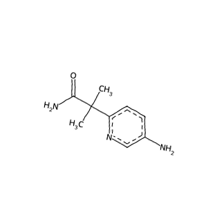 CC(C)(C(N)=O)c1ccc(N)cn1